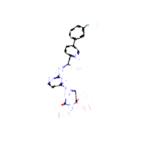 CC(Nc1nccc(N2CC(O)(O)N(C)C2=O)n1)c1ccc(-c2cccc(Cl)c2)cn1